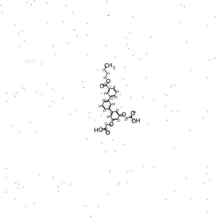 CCCCOC(=O)c1cccc(-c2cccc(-c3cc(OCC(=O)O)cc(OCC(=O)O)c3)c2)c1